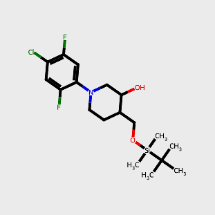 CC(C)(C)[Si](C)(C)OCC1CCN(c2cc(F)c(Cl)cc2F)CC1O